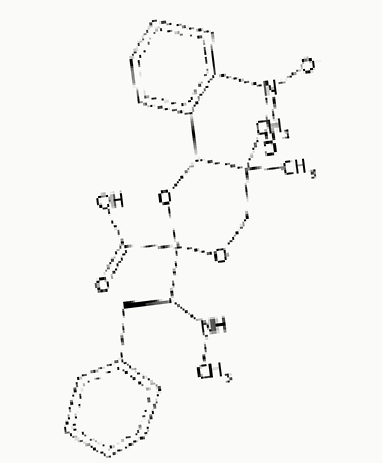 CN[C@@H](Cc1ccccc1)C1(C(=O)O)OCC(C)(C)C(c2ccccc2[N+](=O)[O-])O1